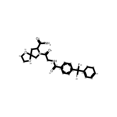 NC(=O)C1CC2(CN1C(=O)CNC(=O)c1ccc(C(F)(F)C3=CC=CCC3)cc1)OCCO2